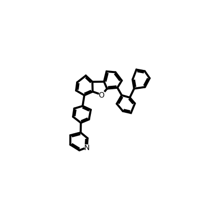 c1ccc(-c2ccccc2-c2cccc3c2oc2c(-c4ccc(-c5cccnc5)cc4)cccc23)cc1